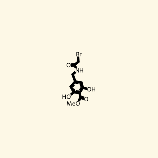 COC(=O)c1c(O)cc(CNC(=O)CBr)cc1O